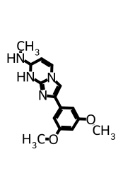 CNC1C=Cn2cc(-c3cc(OC)cc(OC)c3)nc2N1